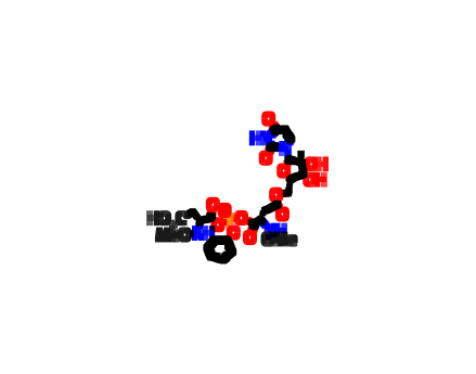 CON[C@@H](CC(=O)O)C(=O)OP(=O)(OC(=O)[C@H](CC(=O)OC[C@H]1O[C@@H](n2ccc(=O)[nH]c2=O)[C@](C)(O)[C@@H]1O)NOC)Oc1ccccc1